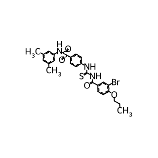 CCCOc1ccc(C(=O)NC(=S)Nc2ccc(S(=O)(=O)Nc3cc(C)cc(C)c3)cc2)cc1Br